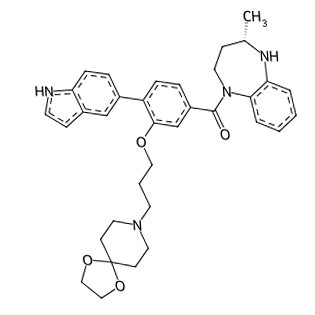 C[C@H]1CCN(C(=O)c2ccc(-c3ccc4[nH]ccc4c3)c(OCCCN3CCC4(CC3)OCCO4)c2)c2ccccc2N1